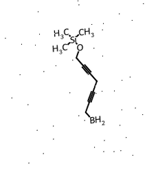 BCC#CCC#CCO[Si](C)(C)C